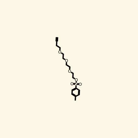 C#CCCOCCOCCOCCOS(=O)(=O)c1ccc(C)cc1